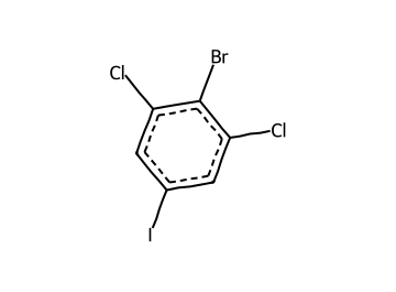 Clc1cc(I)cc(Cl)c1Br